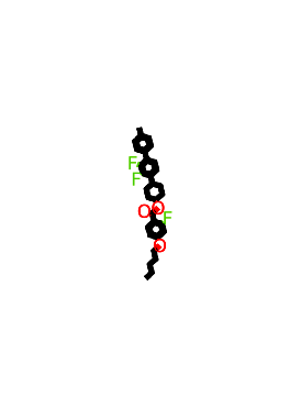 CCCCCOc1ccc(C(=O)OC2CCC(c3ccc(-c4ccc(C)cc4)c(F)c3F)CC2)c(F)c1